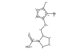 Cc1onc(OCC2CCCN2C(=O)O)c1Br